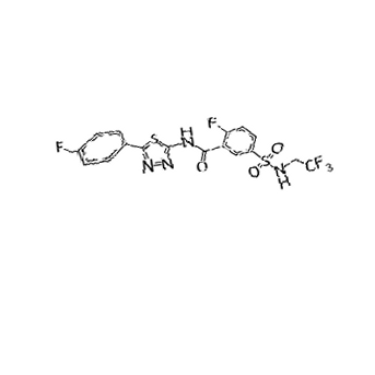 O=C(Nc1nnc(-c2ccc(F)cc2)s1)c1cc(S(=O)(=O)NCC(F)(F)F)ccc1F